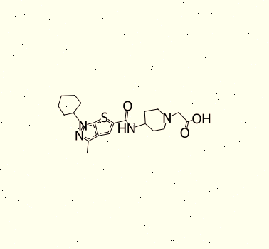 Cc1nn(C2CCCCC2)c2sc(C(=O)NC3CCN(CC(=O)O)CC3)cc12